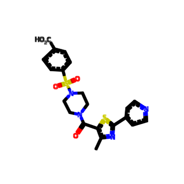 Cc1nc(-c2ccncc2)sc1C(=O)N1CCN(S(=O)(=O)c2ccc(C(=O)O)cc2)CC1